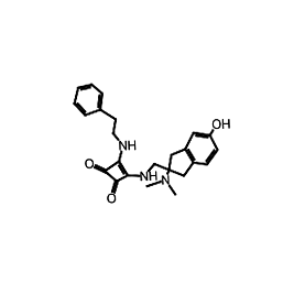 CN(C)C1(CNc2c(NCCc3ccccc3)c(=O)c2=O)Cc2ccc(O)cc2C1